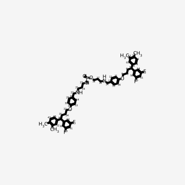 Cc1ccc(C(CCCOc2ccc(CNCCCO[PH](=O)OCCCNCc3ccc(OCCCC(c4cc(F)cc(F)c4)c4ccc(C)c(C)c4)cc3)cc2)c2cc(F)cc(F)c2)cc1C